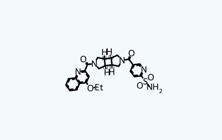 CCOc1cc(C(=O)N2C[C@@H]3[C@H]4CN(C(=O)c5ccc(S(N)(=O)=O)nc5)C[C@H]4[C@@H]3C2)nc2ccccc12